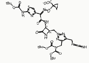 CC(C)(C)OC(=O)Nc1nc(C(=NOC2(C(=O)[O-])CC2)C(=O)N[C@@H]2C(=O)N[C@@H]2Cn2nc(CN=[N+]=N)c(CN(C(=O)OC(C)(C)C)C(=O)OC(C)(C)C)n2)cs1